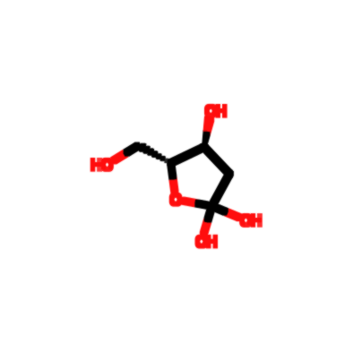 OC[C@H]1OC(O)(O)C[C@@H]1O